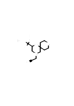 C#CCN1CC(C(C)(C)C)OC2(CCNCC2)C1